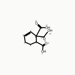 O=C(O)C1CCC=CC1(C(=O)O)C(=O)O